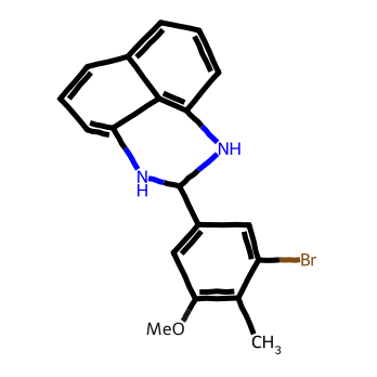 COc1cc(C2Nc3cccc4cccc(c34)N2)cc(Br)c1C